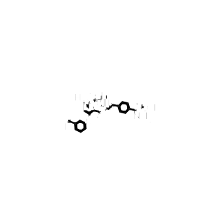 CC(C)(C)n1ncc(Oc2cccc(C(F)(F)F)c2)c1C(=O)NCCc1ccc(C(N)=NO)cc1